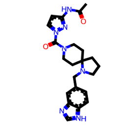 CC(=O)Nc1ccn(C(=O)N2CCC3(CCCN3Cc3ccc4[nH]cnc4c3)CC2)n1